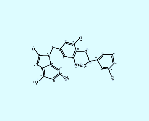 CCCc1cc(Cn2c(CC)nc3c(C)cc(C)nc32)cc(Cl)c1OC(C(=O)O)c1cccc(Cl)c1